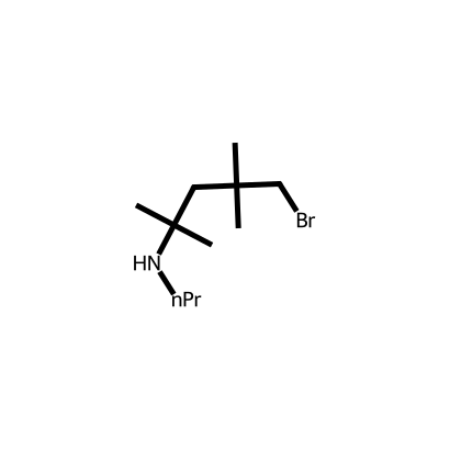 CCCNC(C)(C)CC(C)(C)CBr